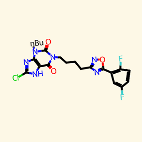 CCCCn1c(=O)n(CCCCc2noc(-c3cc(F)ccc3F)n2)c(=O)c2[nH]c(Cl)nc21